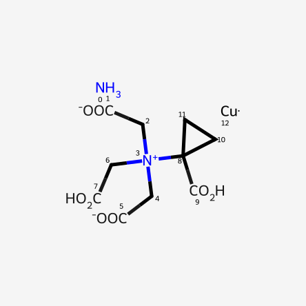 N.O=C([O-])C[N+](CC(=O)[O-])(CC(=O)O)C1(C(=O)O)CC1.[Cu]